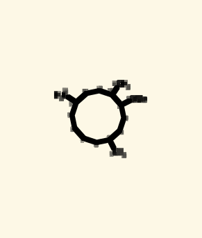 COC1CCC(C)CCCCC(C)CCC1C